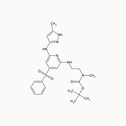 Cc1cc(Nc2cc(S(=O)(=O)c3ccccc3)cc(NCCN(C)C(=O)OC(C)(C)C)n2)n[nH]1